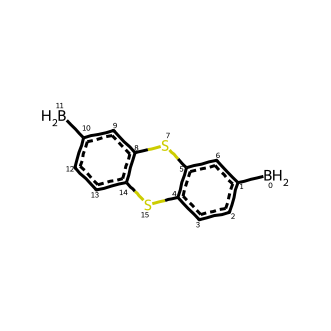 Bc1ccc2c(c1)Sc1cc(B)ccc1S2